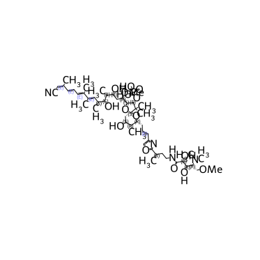 COC[C@H]([C@@H](O)[C@@H](O)C(=O)NCC[C@@H](C)c1nc(/C=C/C[C@H]2O[C@@]3(C[C@H](O)[C@H]2C)O[C@@H]([C@@H](C[C@@H](O)[C@@H](C)[C@@H](O)[C@@H](C)/C=C(C)/C(C)=C/C=C/C(C)=C\C#N)OC)[C@@H](OP(=O)(O)O)C3(C)C)co1)N(C)C